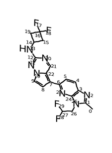 Cc1nc2ccc(-c3ccn4nc(NC5CC(F)(F)C5)ncc34)nc2n1CC(F)F